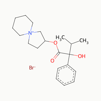 CC(C)C(O)(C(=O)OC1CC[N+]2(CCCCC2)C1)c1ccccc1.[Br-]